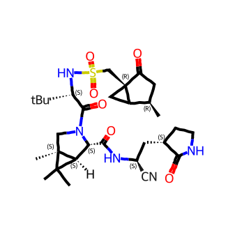 C[C@@H]1CC(=O)[C@@]2(CS(=O)(=O)N[C@H](C(=O)N3C[C@@]4(C)[C@@H]([C@H]3C(=O)N[C@H](C#N)C[C@@H]3CCNC3=O)C4(C)C)C(C)(C)C)CC12